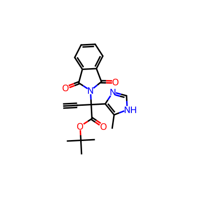 C#CC(C(=O)OC(C)(C)C)(c1nc[nH]c1C)N1C(=O)c2ccccc2C1=O